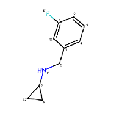 Fc1cccc(CNC2CC2)c1